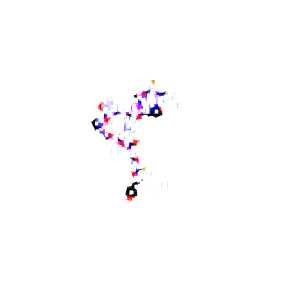 C[C@H](NC(=O)[C@@H]1CCCN1C(=O)[C@H](CC(N)=O)NC(=O)[C@H](CS)NC(=O)[C@H](CSS(=O)(=O)O)NC(=O)[C@H](Cc1ccc(O)cc1)NC(=O)[C@H](CCC(=O)O)NC(=O)[C@H](CSS(=O)(=O)O)NC(=O)[C@@H](N)CSS(=O)(=O)O)C(=O)N[C@@H](CS)C(=O)N[C@H](C(=O)NCC(=O)N[C@@H](CS)C(=O)N[C@@H](Cc1ccc(O)cc1)C(=O)O)[C@@H](C)O